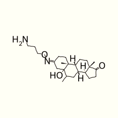 CC1C[C@@H]2[C@@H](CC[C@]3(C)C(=O)CC[C@@H]23)[C@@]2(C)CCC(=NOCCCN)CC12O